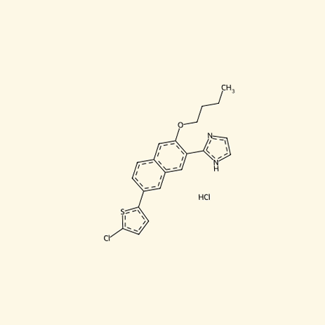 CCCCOc1cc2ccc(-c3ccc(Cl)s3)cc2cc1-c1ncc[nH]1.Cl